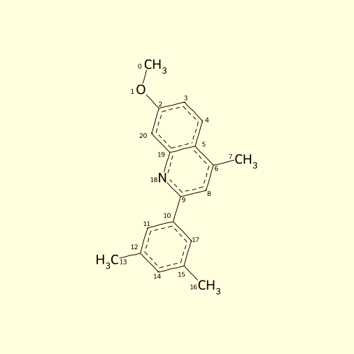 COc1ccc2c(C)cc(-c3cc(C)cc(C)c3)nc2c1